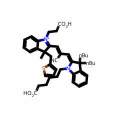 CCCCC1(CCCC)/C(=C/C(C#N)=C/C2=[N+](CCC(=O)O)c3ccccc3C2(C)Cc2cccs2)N(CCCCCC(=O)O)c2ccccc21